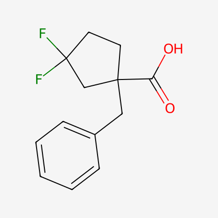 O=C(O)C1(Cc2ccccc2)CCC(F)(F)C1